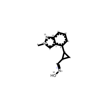 Cn1cc2c(C3CC3/C=N/O)cccc2n1